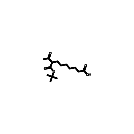 CC(=O)C(CCCCCCC(=O)O)C(=O)OC(C)(C)C